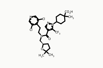 CC1(C)CC[C@H](CN(CCc2c(Cl)cncc2Cl)C(=O)c2cnn(C3CCC(C)(C(=O)O)CC3)c2C(F)(F)F)O1